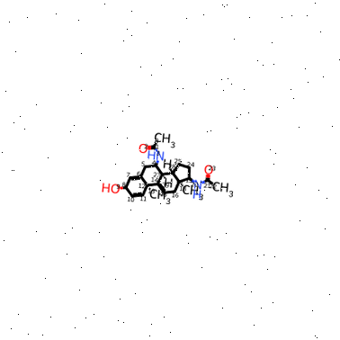 CC(=O)NC1CC2=CC(O)C=C[C@]2(C)C2=CC[C@]3(C)C(NC(C)=O)CC[C@H]3[C@@H]21